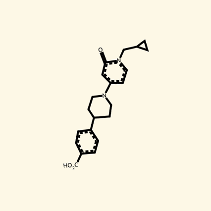 O=C(O)c1ccc(C2CCN(c3ccn(CC4CC4)c(=O)c3)CC2)cc1